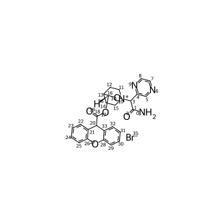 NC(=O)C(c1cnccn1)[N+]12CCC(CC1)[C@@H](OC(=O)C1c3ccccc3Oc3ccccc31)C2.[Br-]